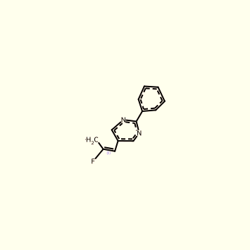 [CH2]/C(F)=C\c1cnc(-c2ccccc2)nc1